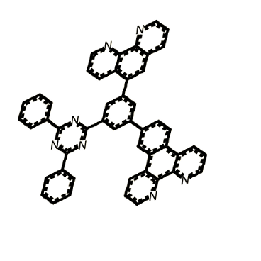 c1ccc(-c2nc(-c3ccccc3)nc(-c3cc(-c4ccc5c(c4)c4cccnc4c4ncccc54)cc(-c4cc5cccnc5c5ncccc45)c3)n2)cc1